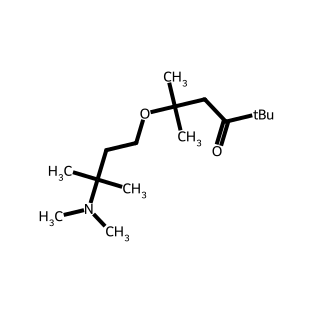 CN(C)C(C)(C)CCOC(C)(C)CC(=O)C(C)(C)C